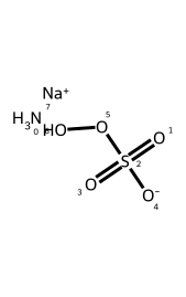 N.O=S(=O)([O-])OO.[Na+]